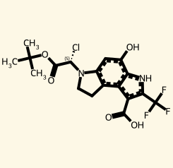 CC(C)(C)OC(=O)[C@H](Cl)N1CCc2c1cc(O)c1[nH]c(C(F)(F)F)c(C(=O)O)c21